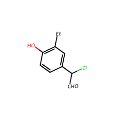 CCc1cc(C(Cl)C=O)ccc1O